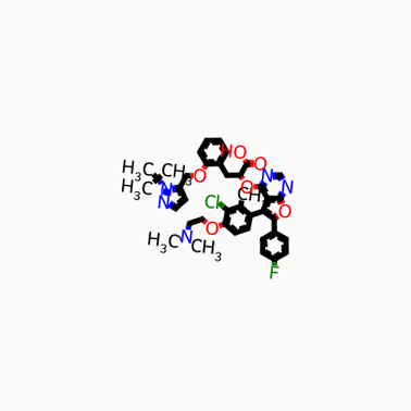 Cc1c(-c2c(-c3ccc(F)cc3)oc3ncnc(OC(Cc4ccccc4OCc4ccnn4C(C)(C)C)C(=O)O)c23)ccc(OCCN(C)C)c1Cl